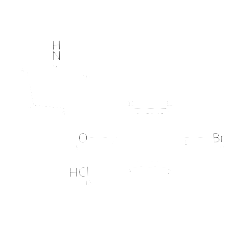 Brc1ccc(OC2CCNC2)cc1.Cl